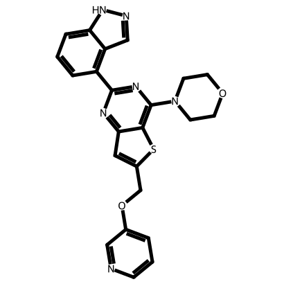 c1cncc(OCc2cc3nc(-c4cccc5[nH]ncc45)nc(N4CCOCC4)c3s2)c1